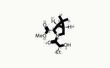 CC[C@@H](O)C(=O)N1C[C@H]2[C@@H]([C@H]1C(=O)OC)C2(C)C